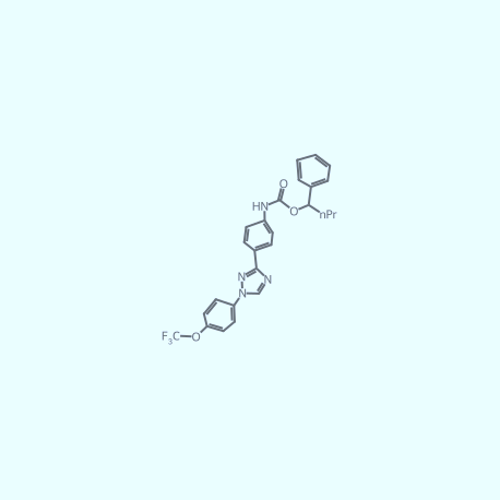 CCCC(OC(=O)Nc1ccc(-c2ncn(-c3ccc(OC(F)(F)F)cc3)n2)cc1)c1ccccc1